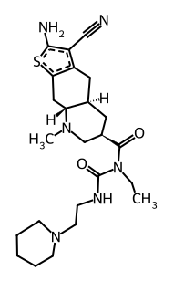 CCN(C(=O)NCCN1CCCCC1)C(=O)[C@@H]1C[C@@H]2Cc3c(sc(N)c3C#N)C[C@H]2N(C)C1